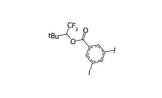 CC(C)(C)C(OC(=O)c1cc(I)cc(I)c1)C(F)(F)F